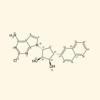 Nc1nc(Cl)nc2c1ccn2[C@@H]1C[C@H](c2ccc3ccccc3c2)[C@@H](O)[C@H]1O